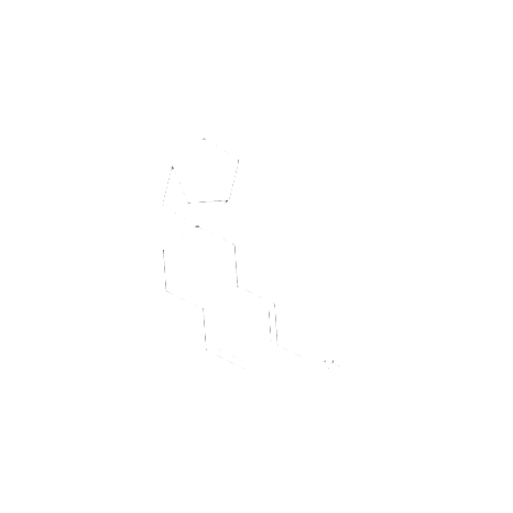 COc1ccc2c(c1)CC1(CC2)CC2=CCC1C2